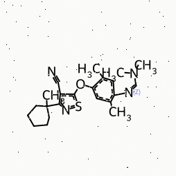 Cc1cc(Oc2snc(C3(C)CCCCC3)c2C#N)c(C)cc1/N=C\N(C)C